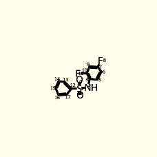 O=S(=O)(Nc1ccc(F)cc1F)c1ccccc1